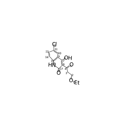 CCOCCC(=O)c1c(O)c2cc(Cl)ccc2[nH]c1=O